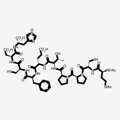 CSCC[C@H](NC(C)=O)C(=O)N[C@@H](CS)C(=O)N1CCC[C@H]1C(=O)N1CCC[C@H]1C(=O)N[C@H](C(=O)N[C@@H](CCC(=O)O)C(=O)N[C@@H](Cc1ccccc1)C(=O)N[C@@H](CS)C(=O)N[C@@H](CC(=O)O)C(=O)N[C@@H](Cc1c[nH]cn1)C(=O)O)[C@@H](C)O